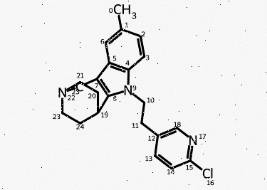 Cc1ccc2c(c1)c1c(n2CCc2ccc(Cl)nc2)C2CCN(CC2)C1